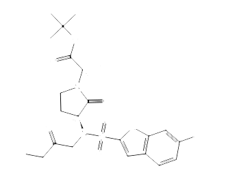 CCC(=O)CN([C@H]1CCN([C@@H](C)C(=O)OC(C)(C)C)C1=O)S(=O)(=O)c1cc2ccc(Cl)cc2s1